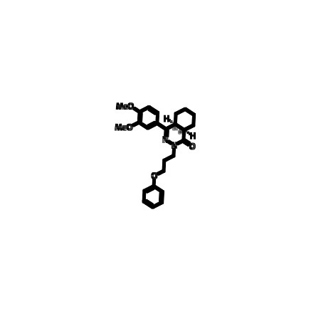 COc1ccc(C2=NN(CCCOc3ccccc3)C(=O)[C@@H]3CCCC[C@H]23)cc1OC